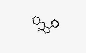 O=C1CCN(c2ccccc2)N1CN1CCOCC1